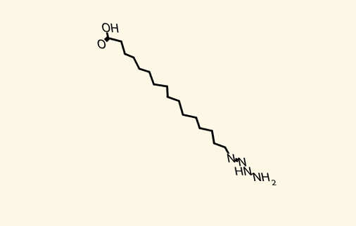 NNN=NCCCCCCCCCCCCCCCC(=O)O